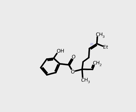 C=CC(C)(CC/C=C(/C)CC)OC(=O)c1ccccc1O